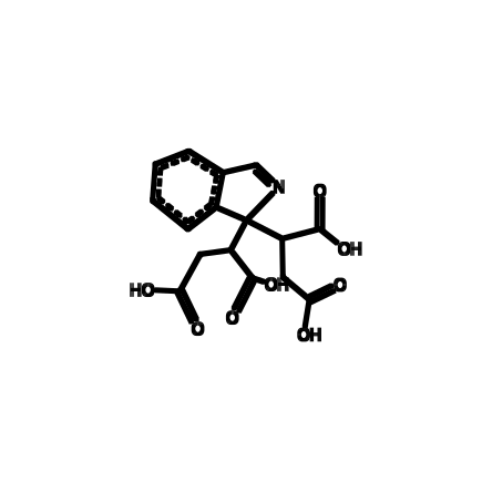 O=C(O)CC(C(=O)O)C1(C(CC(=O)O)C(=O)O)N=Cc2ccccc21